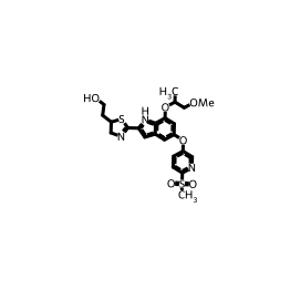 COCC(C)Oc1cc(Oc2ccc(S(C)(=O)=O)nc2)cc2cc(C3=NCC(CCO)S3)[nH]c12